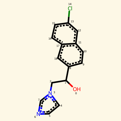 OC(Cn1ccnc1)c1ccc2cc(Cl)ccc2c1